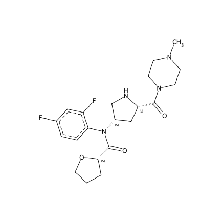 CN1CCN(C(=O)[C@@H]2C[C@H](N(C(=O)[C@@H]3CCCO3)c3ccc(F)cc3F)CN2)CC1